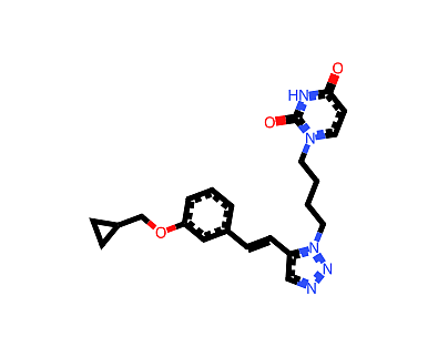 O=c1ccn(CCCCn2nncc2/C=C/c2cccc(OCC3CC3)c2)c(=O)[nH]1